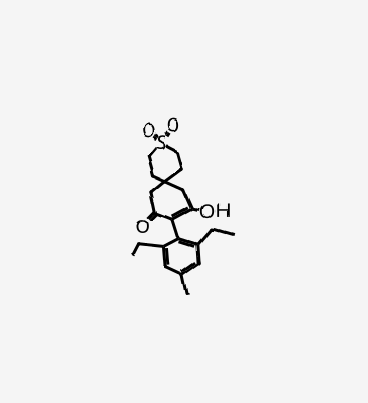 CCc1cc(C)cc(CC)c1C1=C(O)CC2(CCS(=O)(=O)CC2)CC1=O